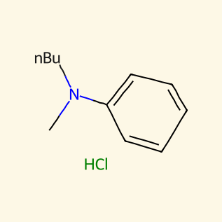 CCCCN(C)c1ccccc1.Cl